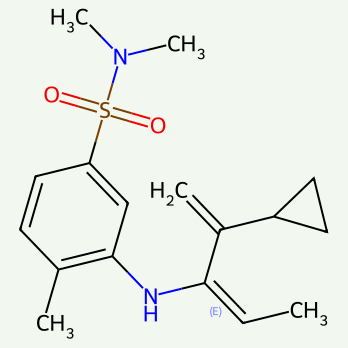 C=C(/C(=C\C)Nc1cc(S(=O)(=O)N(C)C)ccc1C)C1CC1